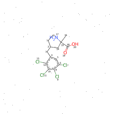 CCC(Cc1cc(Cl)c(Cl)c(Cl)c1Cl)CC(C)(N)C(=O)O